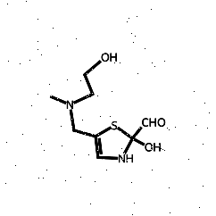 CN(CCO)CC1=CNC(O)(C=O)S1